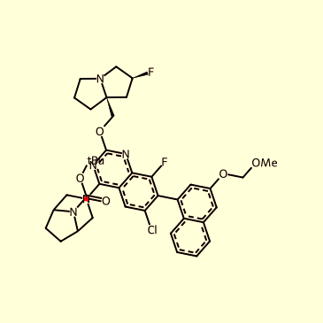 COCOc1cc(-c2c(Cl)cc3c(N4CC5CCC(C4)N5C(=O)OC(C)(C)C)nc(OC[C@@]45CCCN4C[C@@H](F)C5)nc3c2F)c2ccccc2c1